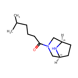 CC(C)CCCC(=O)N1C[C@H]2CC[C@@H](C1)N2